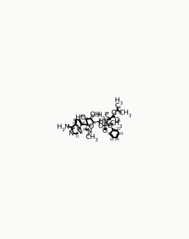 CN=C[C@@]1(c2ccc3c(N)ncnn23)O[C@H](COP(=O)(NC(C)(C)C(=O)OC(C)C)Oc2ccccc2)[C@@H](O)[C@H]1O